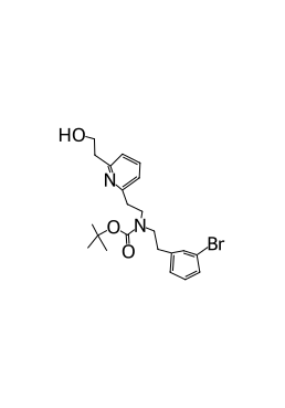 CC(C)(C)OC(=O)N(CCc1cccc(Br)c1)CCc1cccc(CCO)n1